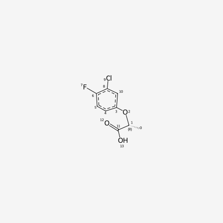 C[C@@H](Oc1ccc(F)c(Cl)c1)C(=O)O